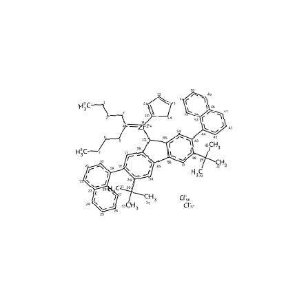 CCCC[C](CCCC)=[Zr+2]([C]1=CC=CC1)[CH]1c2cc(-c3cccc4ccccc34)c(C(C)(C)C)cc2-c2cc(C(C)(C)C)c(-c3cccc4ccccc34)cc21.[Cl-].[Cl-]